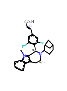 C[C@@H]1Cc2c(n(C)c3ccccc23)[C@@H](c2c(F)cc(/C=C/C(=O)O)cc2F)N1C1CCC2CC1C2